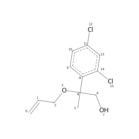 C=CCOC(C)(CO)c1ccc(Cl)cc1Cl